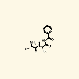 CC[C@H](C)[C@H](NC(=O)[C@@H](N)C(C)C)C(=O)NC(=O)c1ccccn1